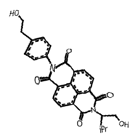 CC(C)C(CO)N1C(=O)c2ccc3c4c(ccc(c24)C1=O)C(=O)N(c1ccc(CCO)cc1)C3=O